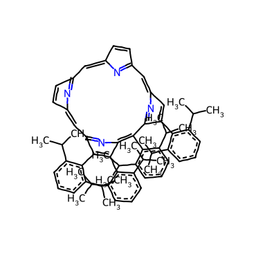 CC(C)c1cccc(C(C)C)c1C1=CC2=CC3=NC(=CC4=NC(=CC5=NC(=C(c6c(C(C)C)cccc6C(C)C)C1=N2)C(c1c(C(C)C)cccc1C(C)C)=C5c1c(C(C)C)cccc1C(C)C)C=C4)C=C3